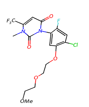 COCCOCCOc1cc(-n2c(=O)cc(C(F)(F)F)n(C)c2=O)c(F)cc1Cl